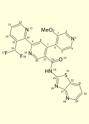 COc1cnccc1-c1cc(-c2ncccc2C(F)F)ncc1C(=O)Nc1nc2ncccc2s1